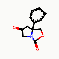 O=C1CN2C(=O)OCC2(c2ccccc2)C1